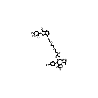 Cc1sc2c(c1C)C(c1ccc(Cl)cc1)=N[C@@H](CC(=O)NCCOCCOCCSc1cccc3c1CN(C1CCC(=O)NC1=O)C3=O)c1nnc(C)n1-2